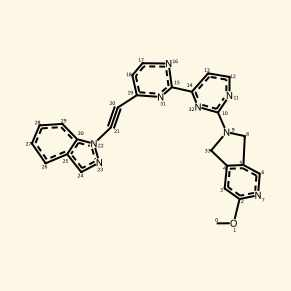 COc1cc2c(cn1)CN(c1nccc(-c3nccc(C#Cn4ncc5ccccc54)n3)n1)C2